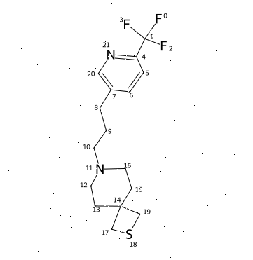 FC(F)(F)c1ccc(CCCN2CCC3(CC2)CSC3)cn1